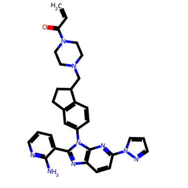 C=CC(=O)N1CCN(CC2CCc3cc(-n4c(-c5cccnc5N)nc5ccc(-n6cccn6)nc54)ccc32)CC1